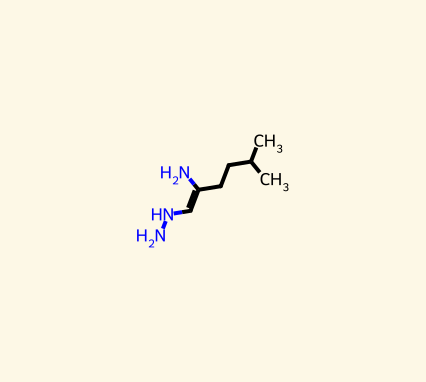 CC(C)CC/C(N)=C/NN